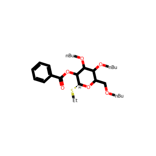 CCCCOCC1O[C@H](SCC)C(OC(=O)c2ccccc2)C(OCCCC)C1OCCCC